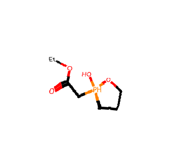 CCOC(=O)C[PH]1(O)CCCO1